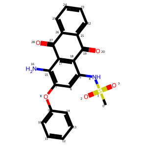 CS(=O)(=O)Nc1cc(Oc2ccccc2)c(N)c2c1C(=O)c1ccccc1C2=O